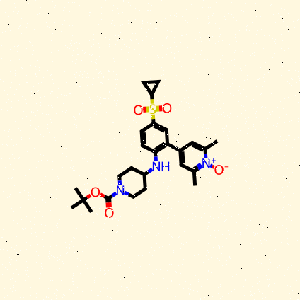 Cc1cc(-c2cc(S(=O)(=O)C3CC3)ccc2NC2CCN(C(=O)OC(C)(C)C)CC2)cc(C)[n+]1[O-]